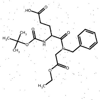 CCOC(=O)CN(Cc1ccccc1)C(=O)C(CCC(=O)O)NC(=O)OC(C)(C)C